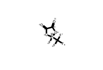 O=C1O[PH](F)(C(F)(F)F)OC1=O